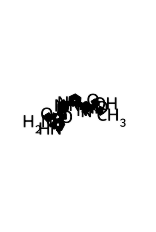 CC(=O)C[C@@H](C(=O)O)n1cc(-c2cccc(-c3cn([C@@H](CCC(N)=O)C(=O)C4CCNCC4)nn3)n2)nn1